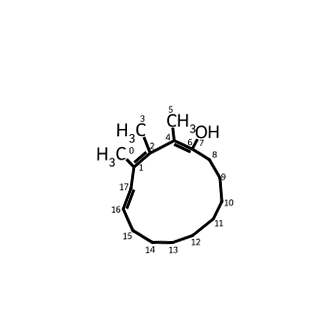 CC1=C(C)C(C)=C(O)CCCCCCCCC=C1